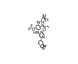 C=CC(=O)Nc1cc(Nc2cc(-c3ccc4cnn(C)c4c3)ncn2)c(OC(F)F)cc1N(C)CCN(CC)CC